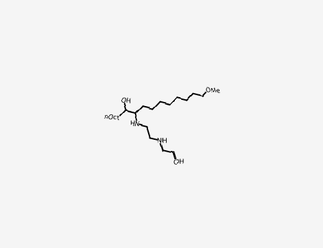 CCCCCCCCC(O)C(CCCCCCCCOC)NCCNCCO